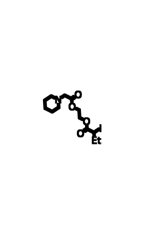 CCC(I)C(=O)OCCOC(=O)CN1CCCCC1